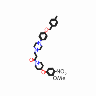 COc1cc(OC2CCN(C(=O)CCN3CCN(c4ccc(OCc5ccc(C)cc5)cc4)CC3)CC2)ccc1[N+](=O)[O-]